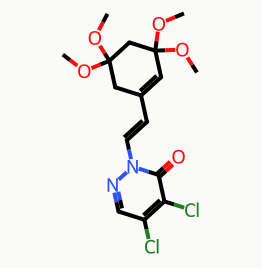 COC1(OC)C=C(C=Cn2ncc(Cl)c(Cl)c2=O)CC(OC)(OC)C1